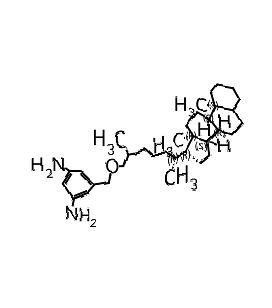 CC(CCC[C@@H](C)[C@H]1CC[C@H]2[C@@H]3CCC4CCCC[C@]4(C)[C@H]3CC[C@]12C)COCc1cc(N)cc(N)c1